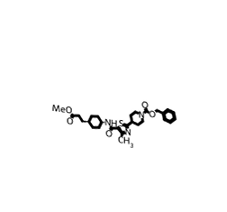 COC(=O)CC[C@H]1CC[C@H](NC(=O)c2sc(C3CCN(C(=O)OCc4ccccc4)CC3)nc2C)CC1